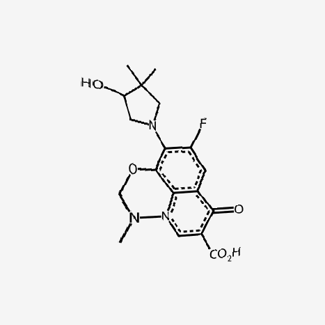 CN1COc2c(N3CC(O)C(C)(C)C3)c(F)cc3c(=O)c(C(=O)O)cn1c23